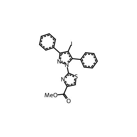 COC(=O)c1csc(-n2nc(-c3ccccc3)c(I)c2-c2ccccc2)n1